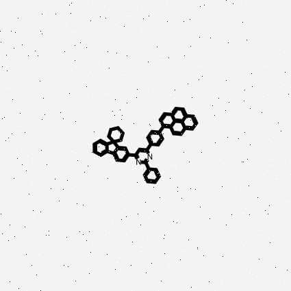 c1ccc(-c2nc(-c3ccc(-c4ccc5ccc6cccc7ccc4c5c67)cc3)cc(-c3ccc4c(c3)C3(CCCCC3)c3ccccc3-4)n2)cc1